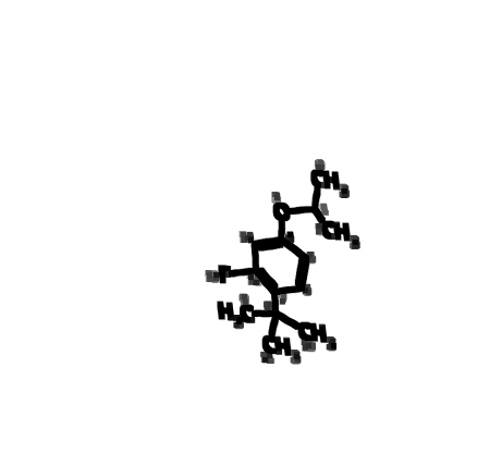 CC(C)Oc1ccc(C(C)(C)C)c(F)c1